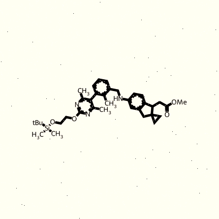 COC(=O)CC1c2ccc(NCc3cccc(-c4c(C)nc(OCCO[Si](C)(C)C(C)(C)C)nc4C)c3C)cc2CC12CC2